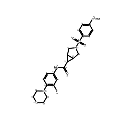 CCCCCc1ccc(S(=O)(=O)N2CC3C(C2)C3C(=O)Nc2ccc(N3CCOCC3)c(F)c2)cc1